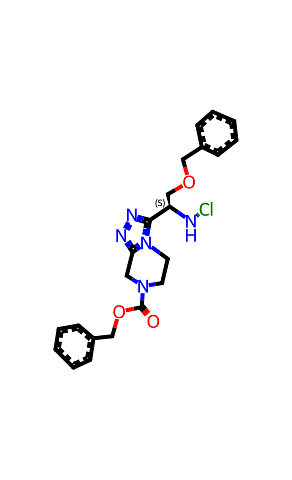 O=C(OCc1ccccc1)N1CCn2c(nnc2[C@@H](COCc2ccccc2)NCl)C1